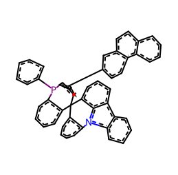 c1ccc(P2c3ccccc3C3(c4ccccc4-n4c5ccccc5c5cccc3c54)c3cc(-c4ccc5c(ccc6ccccc65)c4)ccc32)cc1